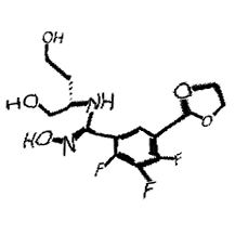 OCC[C@@H](CO)N/C(=N\O)c1cc(C2OCCO2)c(F)c(F)c1F